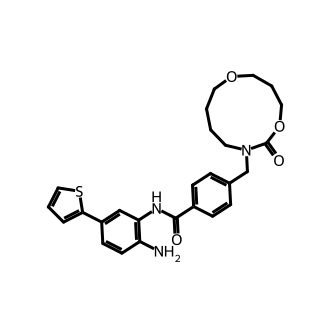 Nc1ccc(-c2cccs2)cc1NC(=O)c1ccc(CN2CCCCOCCCOC2=O)cc1